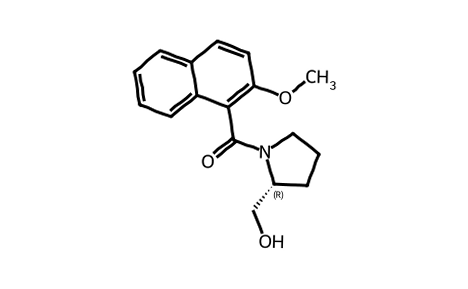 COc1ccc2ccccc2c1C(=O)N1CCC[C@@H]1CO